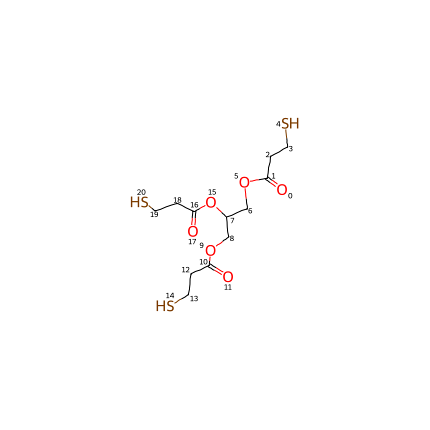 O=C(CCS)OCC(COC(=O)CCS)OC(=O)CCS